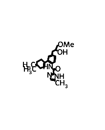 COCC(O)Cc1ccc(NC(=O)c2ncc(C)[nH]2)c(C2=CCC(C)(C)CC2)c1